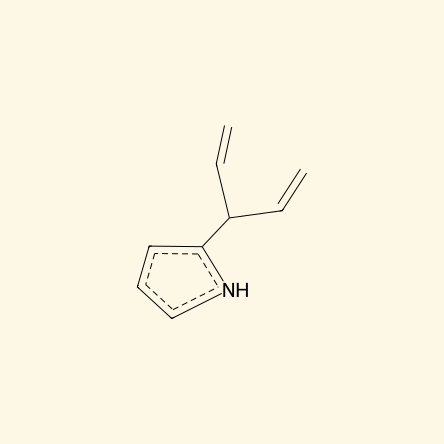 C=CC(C=C)c1ccc[nH]1